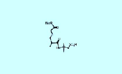 COC(=O)CSCC(C)C(=O)NC(C)(C)CS(=O)(=O)O